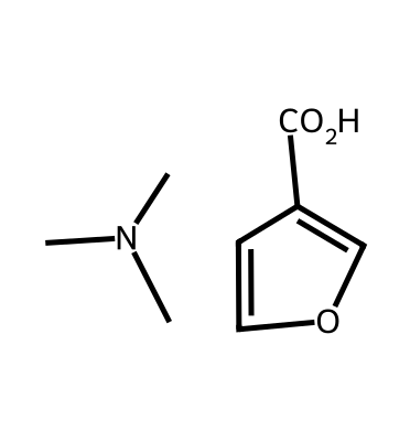 CN(C)C.O=C(O)c1ccoc1